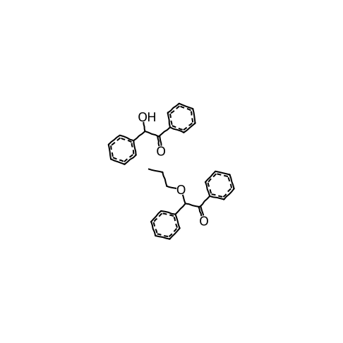 CCCOC(C(=O)c1ccccc1)c1ccccc1.O=C(c1ccccc1)C(O)c1ccccc1